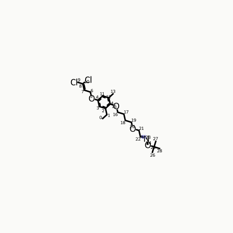 CCc1cc(OCC=C(Cl)Cl)cc(C)c1OCCCCOC/C=N/OC(C)(C)C